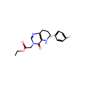 CCOC(=O)Cn1cnc2c(c1=O)N[C@@H](c1ccc(F)cc1)CC2